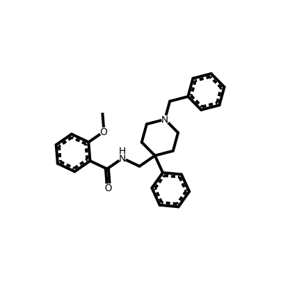 COc1ccccc1C(=O)NCC1(c2ccccc2)CCN(Cc2ccccc2)CC1